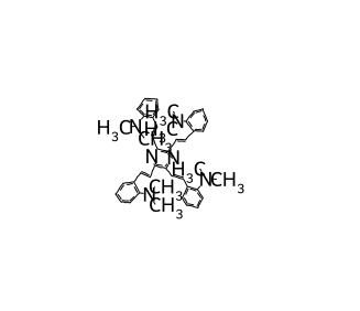 CN(C)c1ccccc1C=Cc1nc(C=Cc2ccccc2N(C)C)c(C=Cc2ccccc2N(C)C)nc1C=Cc1ccccc1N(C)C